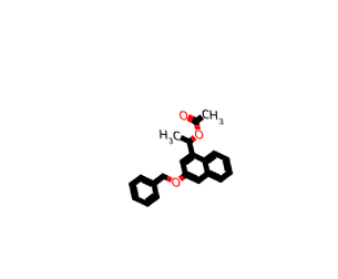 CC(=O)OC(C)c1cc(OCc2ccccc2)cc2ccccc12